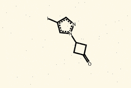 O=C1CC(n2cc(I)cn2)C1